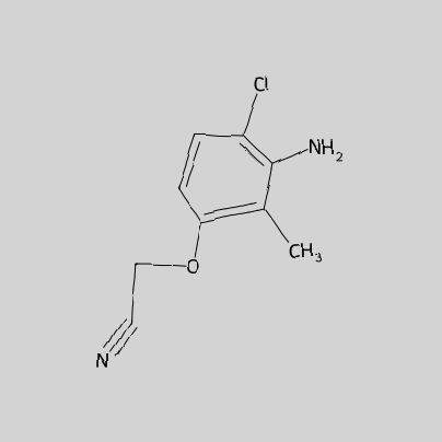 Cc1c(OCC#N)ccc(Cl)c1N